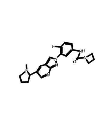 CN1CCCC1c1cnc2nn(-c3cc(NC(=O)N4CCC4)ccc3F)cc2c1